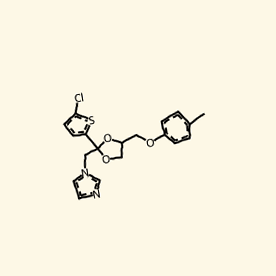 Cc1ccc(OCC2COC(Cn3ccnc3)(c3ccc(Cl)s3)O2)cc1